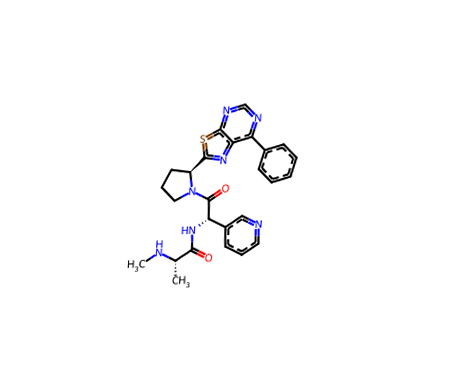 CN[C@@H](C)C(=O)N[C@H](C(=O)N1CCC[C@H]1c1nc2c(-c3ccccc3)ncnc2s1)c1cccnc1